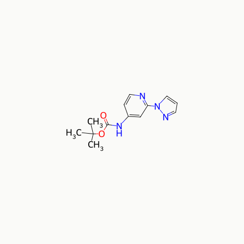 CC(C)(C)OC(=O)Nc1ccnc(-n2cccn2)c1